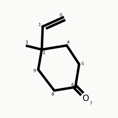 C=CC1(C)CCC(=O)CC1